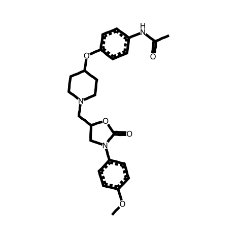 COc1ccc(N2CC(CN3CCC(Oc4ccc(NC(C)=O)cc4)CC3)OC2=O)cc1